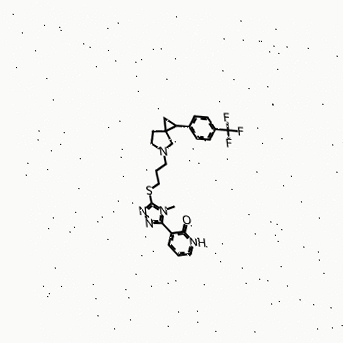 Cn1c(SCCCN2CCC3(CC3c3ccc(C(F)(F)F)cc3)C2)nnc1-c1ccc[nH]c1=O